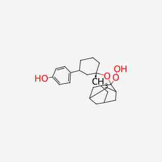 C[C@]1(OC2(OO)C3CC4CC(C3)CC2C4)CCCC(c2ccc(O)cc2)C1